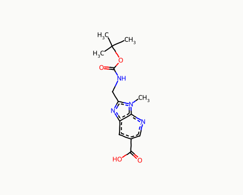 Cn1c(CNC(=O)OC(C)(C)C)nc2cc(C(=O)O)cnc21